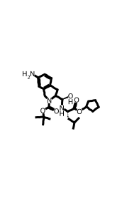 CC(C)C[C@H](N[C@H](O)C1Cc2ccc(N)cc2CN1C(=O)OC(C)(C)C)C(=O)OC1CCCC1